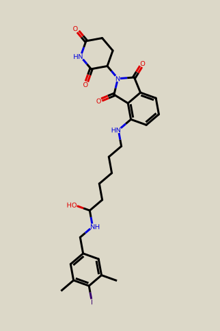 Cc1cc(CNC(O)CCCCCNc2cccc3c2C(=O)N(C2CCC(=O)NC2=O)C3=O)cc(C)c1I